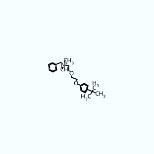 CC(C)(C)c1ccc(OCCOCC[N+](C)(C)Cc2ccccc2)cc1